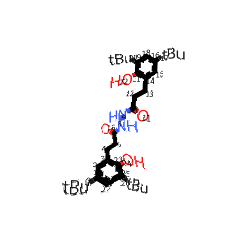 CC(C)(C)c1cc(CCC(=O)NNC(=O)CCc2cc(C(C)(C)C)cc(C(C)(C)C)c2O)c(O)c(C(C)(C)C)c1